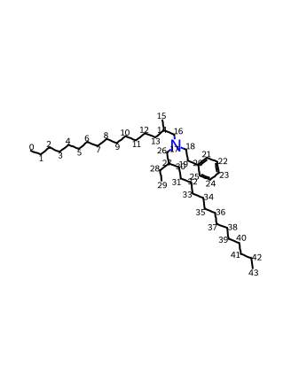 CCCCCCCCCCCCCCC(C)CN(CCc1ccccc1)CC(CC)CCCCCCCCCCCCCC